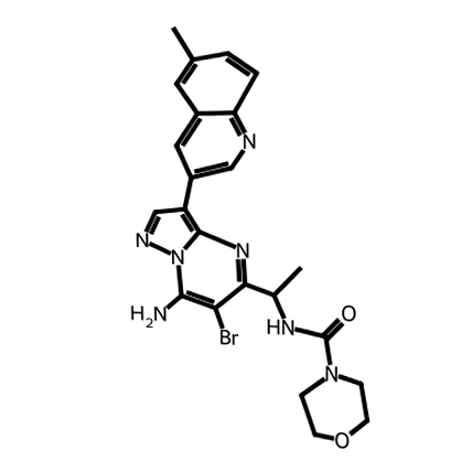 Cc1ccc2ncc(-c3cnn4c(N)c(Br)c(C(C)NC(=O)N5CCOCC5)nc34)cc2c1